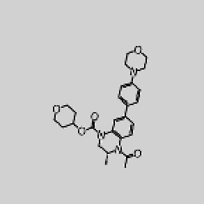 CC(=O)N1c2ccc(-c3ccc(N4CCOCC4)cc3)cc2N(C(=O)OC2CCOCC2)C[C@@H]1C